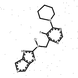 [O-][S+](Cc1ncnc(N2CCCCC2)c1F)c1nc2cscc2[nH]1